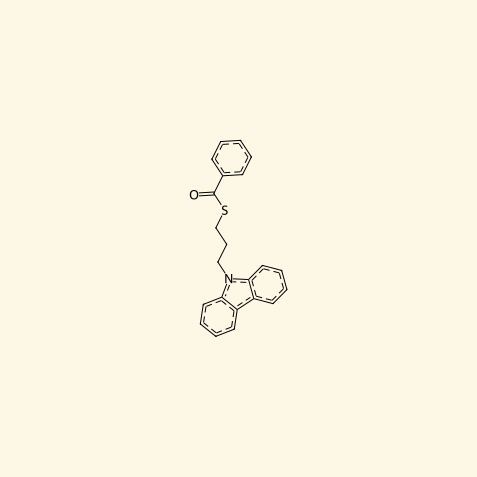 O=C(SCCCn1c2ccccc2c2ccccc21)c1ccccc1